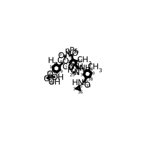 CCCN(C(=O)OC(C)(C(=O)O)c1ccc(OP(=O)(O)O)cc1)C(=O)c1cn2ncnc(Nc3cc(C(=O)NC4CC4)ccc3C)c2c1C